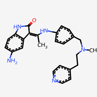 C/C(Nc1ccc(CN(C)CCc2ccncc2)cc1)=C1/C(=O)Nc2ccc(N)cc21